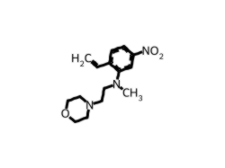 C=Cc1ccc([N+](=O)[O-])cc1N(C)CCN1CCOCC1